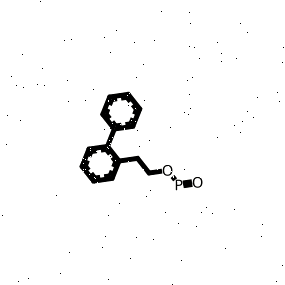 O=POCCc1ccccc1-c1ccccc1